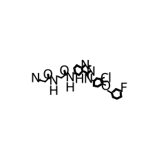 N#CCC(=O)NCCC(=O)Nc1ccc2ncnc(Nc3ccc(OCc4cccc(F)c4)c(Cl)c3)c2c1